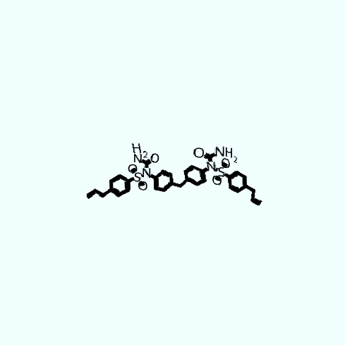 C=CCc1ccc(S(=O)(=O)N(C(N)=O)c2ccc(Cc3ccc(N(C(N)=O)S(=O)(=O)c4ccc(CC=C)cc4)cc3)cc2)cc1